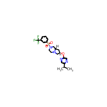 CC(C)c1cnc(O[C@@H]2C[C@H]3CN(S(=O)(=O)c4cccc(C(F)(F)F)c4)CCN3C2)cn1